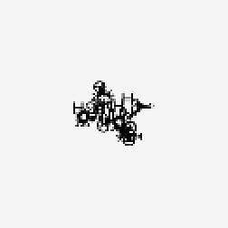 CC1CC1CNc1cc(C(=O)N[C@@H](Cc2ccccc2)[C@H](O)[C@H]2CC(=O)CCN2)cc(N(C)S(C)(=O)=O)c1